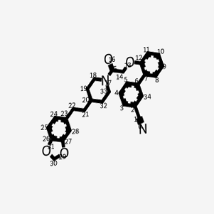 N#Cc1cccc(-c2ccccc2OCC(=O)N2CCC(CCc3ccc4c(c3)OCO4)CC2)c1